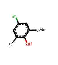 CCc1cc(Br)cc(OC)c1O